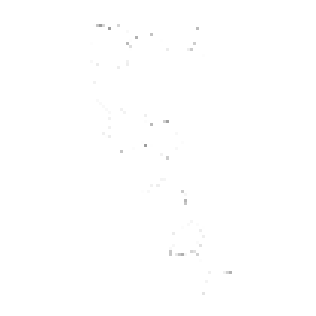 CC(C)NCc1cc(Oc2ccc3c(ccn3C(=O)Nc3cc(C(C)C)[nH]n3)c2)ncn1